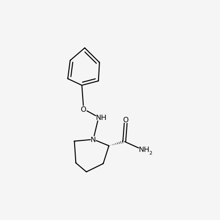 NC(=O)[C@@H]1CCCCN1NOc1ccccc1